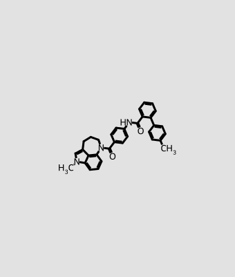 Cc1ccc(-c2ccccc2C(=O)Nc2ccc(C(=O)N3CCCc4cn(C)c5cccc3c45)cc2)cc1